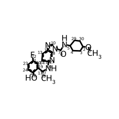 COC1CCC(NC(=O)n2cnc3ccc(N[C@H](C)c4cc(F)ccc4O)nc32)CC1